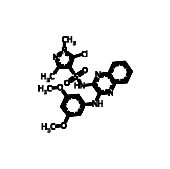 COc1cc(Nc2nc3ccccc3nc2NS(=O)(=O)c2c(C)nn(C)c2Cl)cc(OC)c1